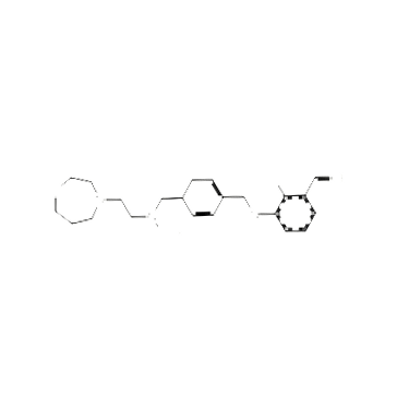 C=Cc1cccc(NCC2=CCC(CN(C=O)CCN3CCCOCC3)C=C2)c1C